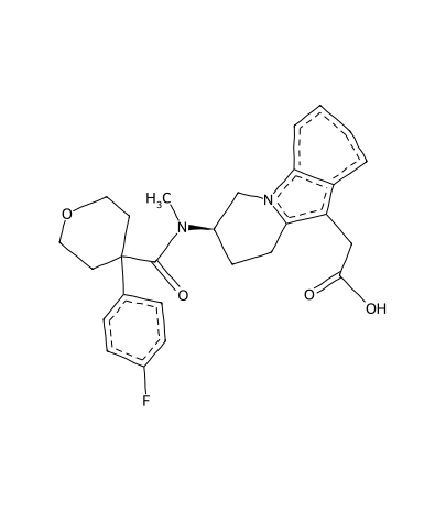 CN(C(=O)C1(c2ccc(F)cc2)CCOCC1)[C@@H]1CCc2c(CC(=O)O)c3ccccc3n2C1